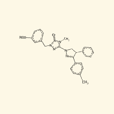 Cc1ccc(C2=NN(c3nn(Cc4cccc(C#N)c4)c(=O)n3C)CC2c2ccccc2)cc1